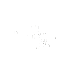 CCCC(C)(CCC)C1=CC=C(c2ccc(-c3c4nc(-c5ccc(CCC(C)CCCC(C)C)s5)sc4c(-c4ccc(C(C)(CC)CCC)s4)c4nc(-c5ccc(CCC(C)CCCC(C)C)s5)sc34)s2)C(=N)C1=N